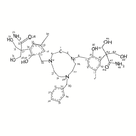 Cc1cc(CN2CCCN(Cc3cc(C)cc(C(CO)(CO)C(N)=O)c3O)CCN(Cc3ccccc3)CC2)c(O)c(C(CO)(CO)C(N)=O)c1